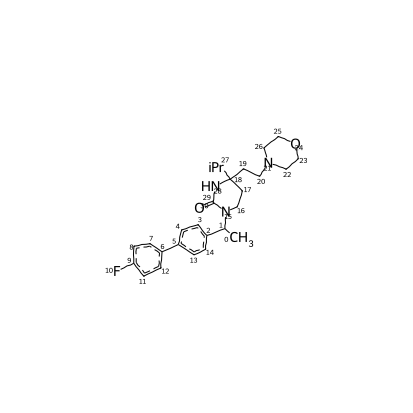 CC(c1ccc(-c2ccc(F)cc2)cc1)N1CCC(CCN2CCOCC2)(C(C)C)NC1=O